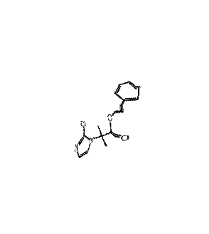 CC(C)(C(=O)OCc1ccccc1)n1ccnc1Cl